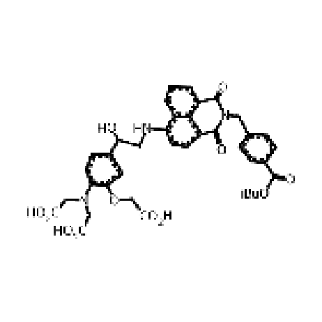 CC(C)COC(=O)c1ccc(CN2C(=O)c3cccc4c(NCC(O)c5ccc(N(CC(=O)O)CC(=O)O)c(OCC(=O)O)c5)ccc(c34)C2=O)cc1